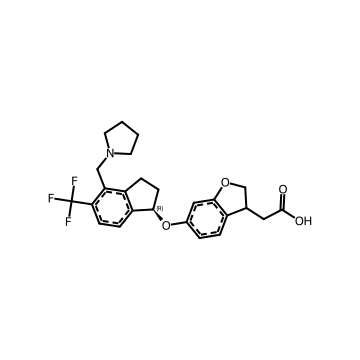 O=C(O)CC1COc2cc(O[C@@H]3CCc4c3ccc(C(F)(F)F)c4CN3CCCC3)ccc21